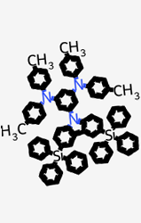 Cc1ccc(N(c2ccc(C)cc2)c2cc(N(c3ccc(C)cc3)c3ccc(C)cc3)cc(-n3c4ccc([Si](c5ccccc5)(c5ccccc5)c5ccccc5)cc4c4cc([Si](c5ccccc5)(c5ccccc5)c5ccccc5)ccc43)c2)cc1